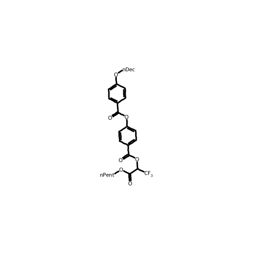 CCCCCCCCCCOc1ccc(C(=O)Oc2ccc(C(=O)OC(C(=O)OCCCCC)C(F)(F)F)cc2)cc1